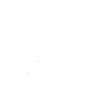 C/C=C/c1ccc(N2CCCC(c3ccccc3)C2)nc1C(=O)c1cccnc1N